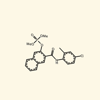 COP(=O)(OC)Oc1cc2ccccc2cc1C(=O)Nc1ccc(Cl)cc1C